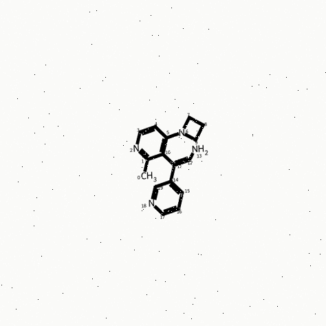 Cc1nccc(N2CCC2)c1/C(=C\N)c1cccnc1